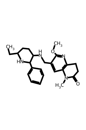 CCC1CCC(NCc2cc3c(nc2OC)CCC(=O)N3C)C(c2ccccc2)N1